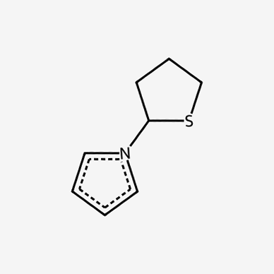 c1ccn(C2CCCS2)c1